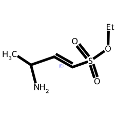 CCOS(=O)(=O)/C=C/C(C)N